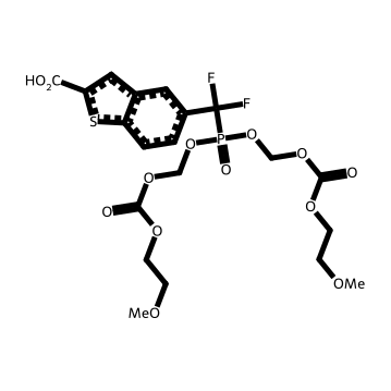 COCCOC(=O)OCOP(=O)(OCOC(=O)OCCOC)C(F)(F)c1ccc2sc(C(=O)O)cc2c1